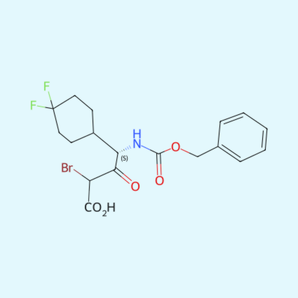 O=C(N[C@H](C(=O)C(Br)C(=O)O)C1CCC(F)(F)CC1)OCc1ccccc1